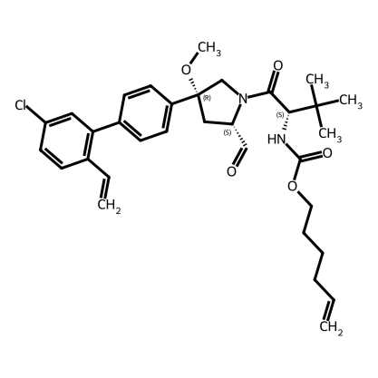 C=CCCCCOC(=O)N[C@H](C(=O)N1C[C@](OC)(c2ccc(-c3cc(Cl)ccc3C=C)cc2)C[C@H]1C=O)C(C)(C)C